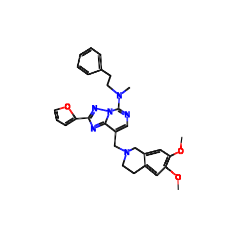 COc1cc2c(cc1OC)CN(Cc1cnc(N(C)CCc3ccccc3)n3nc(-c4ccco4)nc13)CC2